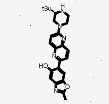 Cc1nc2cc(O)c(-c3ccc4nc(N5CCN[C@H](C(C)(C)C)C5)ccc4n3)cc2o1